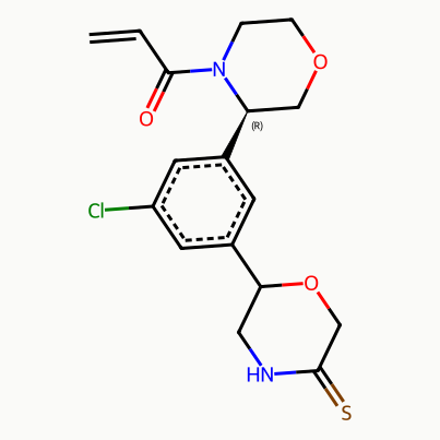 C=CC(=O)N1CCOC[C@H]1c1cc(Cl)cc(C2CNC(=S)CO2)c1